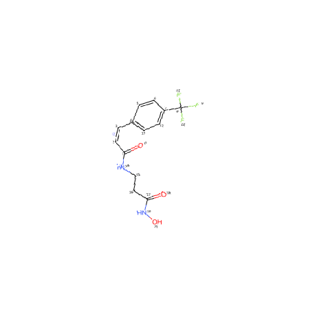 O=C(/C=C\c1ccc(C(F)(F)F)cc1)NCCC(=O)NO